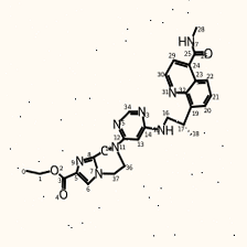 CCOC(=O)c1cn2c(n1)CN(c1cc(NC[C@@H](C)c3cccc4c(C(=O)NC)ccnc34)ncn1)CC2